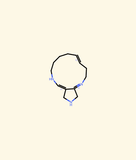 C1=C2/CNC/C2=N/CC/C=C/CCCCN/1